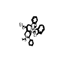 CCOC1=C2CN(SI)[C@H](c3ccccc3)C[C@@H]2N(S(=O)(=O)c2ccccc2Cl)[C@H](c2ccccc2)C1